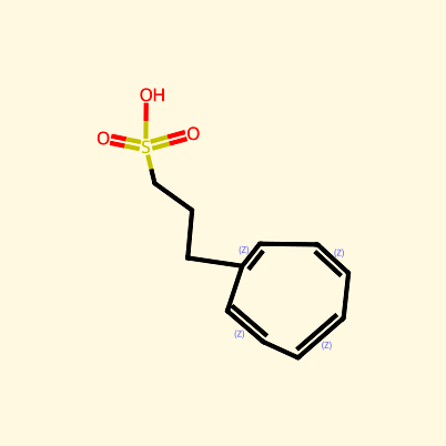 O=S(=O)(O)CCCC1=C/C=C\C=C/C=C\1